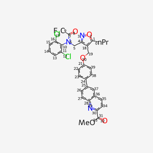 CCCc1onc(CN(C(=O)C(F)(F)F)c2c(Cl)cccc2Cl)c1COc1ccc(-c2ccc3nc(C(=O)OC)ccc3c2)cc1